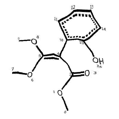 COC(=O)C(=C(OC)OC)c1ccccc1O